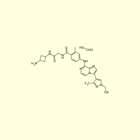 Cc1cc(Nc2nccn3c(-c4cn(CC#N)nc4C(F)(F)F)cnc23)ccc1C(=O)NCC(=O)NC1CC(N)C1.O=CO